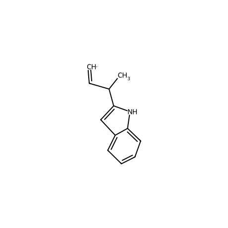 [CH]=CC(C)c1cc2ccccc2[nH]1